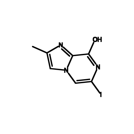 Cc1cn2cc(I)nc(O)c2n1